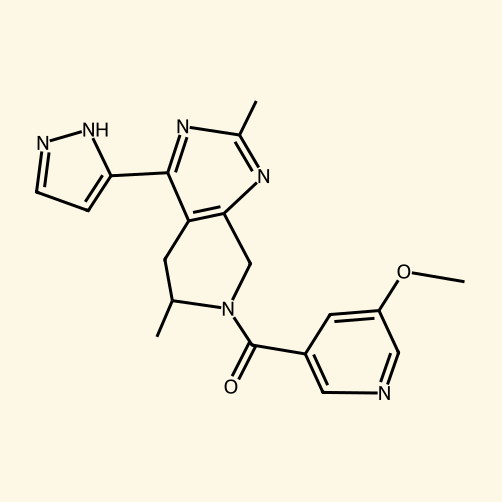 COc1cncc(C(=O)N2Cc3nc(C)nc(-c4ccn[nH]4)c3CC2C)c1